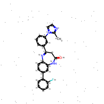 Cc1nccn1-c1cccc(C2=Nc3ccc(-c4ccccc4F)cc3NC(=O)C2)c1